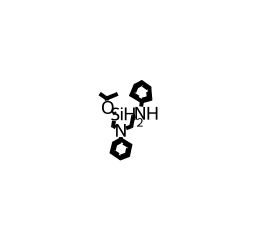 CC(C)O[SiH2]CN(CCNc1ccccc1)c1ccccc1